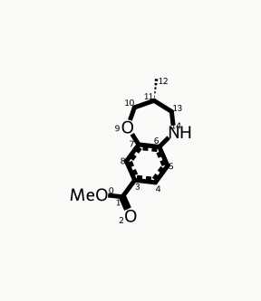 COC(=O)c1ccc2c(c1)OC[C@H](C)CN2